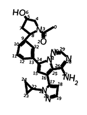 CC(=O)N1CC(O)CC1c1cccc(-c2cc(-c3ccnn3C3CC3)c3c(N)ncnn23)c1